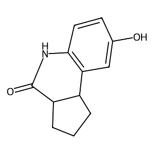 O=C1Nc2ccc(O)cc2C2CCCC12